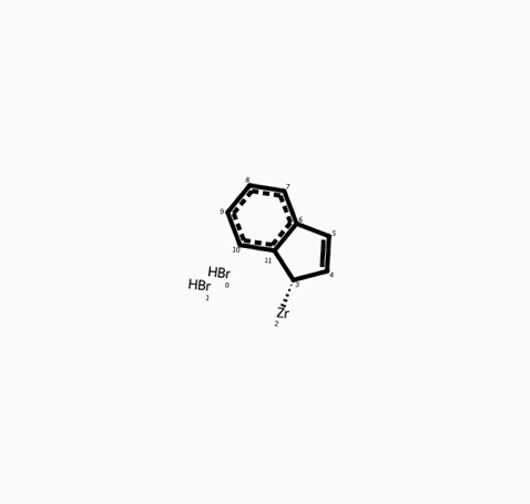 Br.Br.[Zr][C@H]1C=Cc2ccccc21